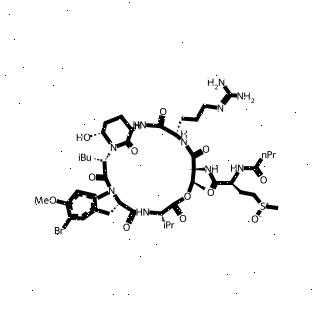 CCCC(=O)N[C@@H](CC[S+](C)[O-])C(=O)N[C@@H]1C(=O)N[C@@H](CCCN=C(N)N)C(=O)N[C@H]2CC[C@@H](O)N(C2=O)[C@@H]([C@@H](C)CC)C(=O)N(C)[C@@H](Cc2ccc(OC)c(Br)c2)C(=O)N[C@@H](C(C)C)C(=O)O[C@@H]1C